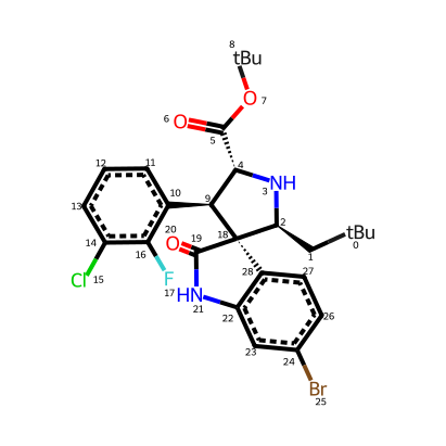 CC(C)(C)C[C@@H]1N[C@@H](C(=O)OC(C)(C)C)[C@H](c2cccc(Cl)c2F)[C@]12C(=O)Nc1cc(Br)ccc12